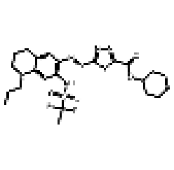 CCCN1CCCc2cc(N=Nc3nnc(C(=O)OC4CCCCC4)s3)c(NS(=O)(=O)C(F)(F)F)cc21